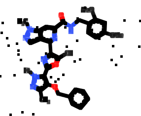 CCn1nc(C)c(OCc2ccccc2)c1-c1nc(-c2nc(C(=O)NCc3ccc(OC)cc3OC)cc3c2cnn3C)c(C#N)o1